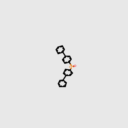 O=[PH](c1ccc(-c2ccccc2)cc1)c1ccc(-c2ccccc2)cc1